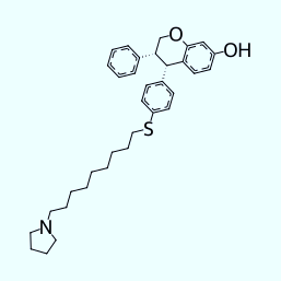 Oc1ccc2c(c1)OC[C@@H](c1ccccc1)[C@H]2c1ccc(SCCCCCCCCCN2CCCC2)cc1